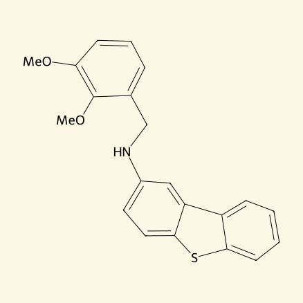 COc1cccc(CNc2ccc3sc4ccccc4c3c2)c1OC